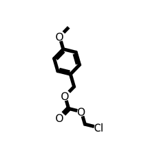 COc1ccc(COC(=O)OCCl)cc1